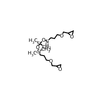 C[Si](C)(CCCOCC1CO1)O[Si](C)(C)O[SiH2]CCCOCC1CO1